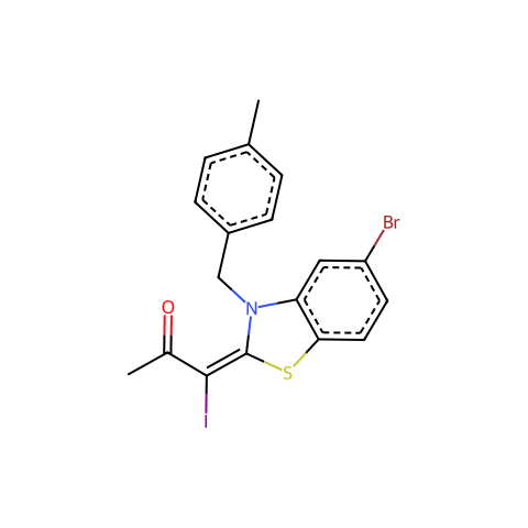 CC(=O)C(I)=C1Sc2ccc(Br)cc2N1Cc1ccc(C)cc1